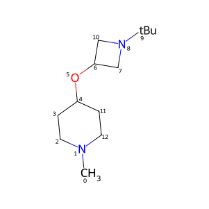 CN1CCC(OC2CN(C(C)(C)C)C2)CC1